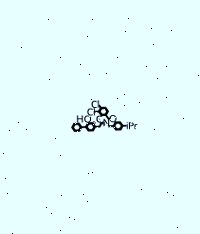 CC(C)c1ccc(CN(C(=O)c2ccc(Cl)c(Cl)c2)[C@H](Cc2ccc(-c3ccccc3)cc2)C(=O)O)cc1